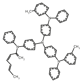 C=C(/C=C\C=C\C)N(c1ccccc1)c1ccc(N(c2ccc(N(c3ccccc3)c3cccc(C)c3)cc2)c2ccc(N(c3ccccc3)c3cccc(C)c3)cc2)cc1